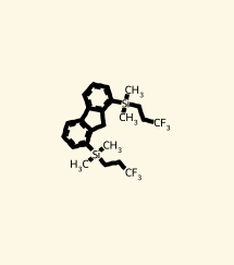 C[Si](C)(CCC(F)(F)F)c1cccc2c1Cc1c-2cccc1[Si](C)(C)CCC(F)(F)F